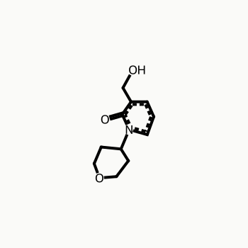 O=c1c(CO)cccn1C1CCOCC1